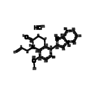 C=CCN1C(=O)CCc2c(-c3cn4ccccc4n3)ccc(OC)c21.Cl